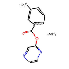 O=C(O)c1cccc(C(=O)Oc2cnccn2)c1.[MgH2]